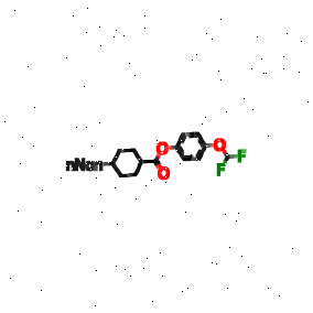 CCCCCCCCCC1CCC(C(=O)Oc2ccc(OC(F)F)cc2)CC1